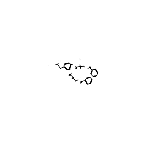 CC(C)(COC(=O)c1ccccc1)C(=O)Oc1ccc(CC(N)C(=O)O)cc1OC(=O)C(C)(C)COC(=O)c1ccccc1.Cl